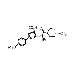 COc1ccc(-c2cc(C(=O)O)c(N(C(=O)[C@H]3CC[C@H](C)CC3)C(C)C)s2)cc1